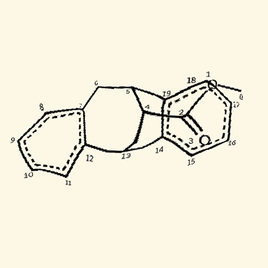 COC(=O)C1C2Cc3ccccc3C1c1ccccc12